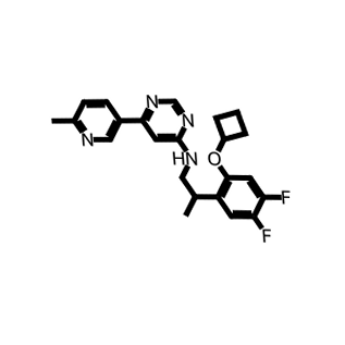 Cc1ccc(-c2cc(NCC(C)c3cc(F)c(F)cc3OC3CCC3)ncn2)cn1